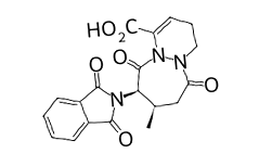 C[C@@H]1CC(=O)N2CCC=C(C(=O)O)N2C(=O)[C@@H]1N1C(=O)c2ccccc2C1=O